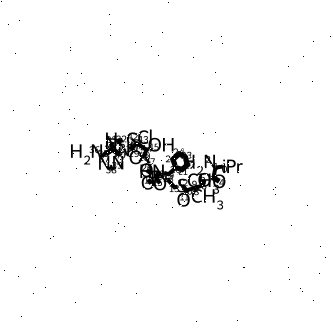 CC(C)C(N)C(=O)OCC(C)(C)C(=O)SCCOP(=O)(NCc1ccccc1)OC[C@H]1O[C@@H](n2cnc3c(N)ncnc32)[C@](C)(Cl)C1O